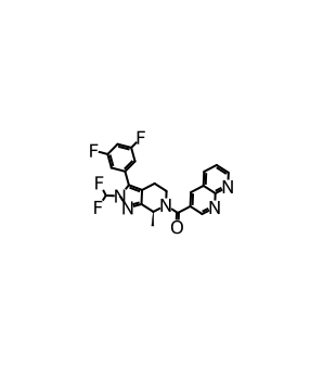 C[C@H]1c2nn(C(F)F)c(-c3cc(F)cc(F)c3)c2CCN1C(=O)c1cnc2ncccc2c1